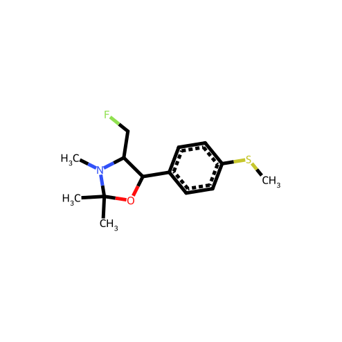 CSc1ccc(C2OC(C)(C)N(C)C2CF)cc1